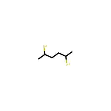 CC(S)CCC(C)S